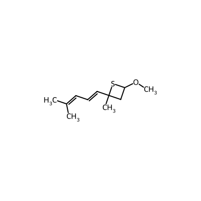 COC1CC(C)(/C=C/C=C(C)C)S1